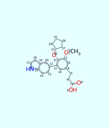 COc1cc(CCC(=O)O)cc(-c2ccc3[nH]ccc3c2)c1OC1CCCC1